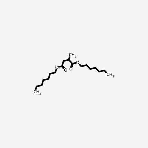 CCCCCCCOC(=O)CC(C)C(=O)OCCCCCCC